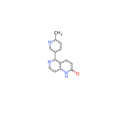 Cc1ccc(-c2nccc3[nH]c(=O)ccc23)cn1